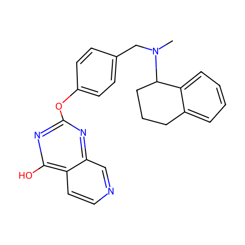 CN(Cc1ccc(Oc2nc(O)c3ccncc3n2)cc1)C1CCCc2ccccc21